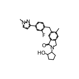 Cc1cc2c(cc1Cc1ccc(-c3ccn(C)n3)cc1F)C(=O)N(C1CCCC1O)C2